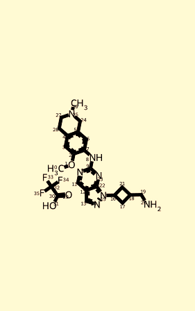 COc1cc2c(cc1Nc1ncc3cnn(C4CC(CN)C4)c3n1)CN(C)CC2.O=C(O)C(F)(F)F